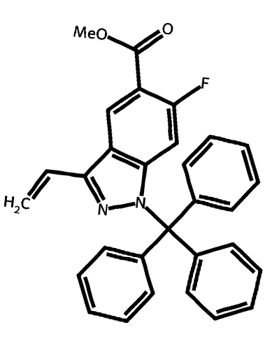 C=Cc1nn(C(c2ccccc2)(c2ccccc2)c2ccccc2)c2cc(F)c(C(=O)OC)cc12